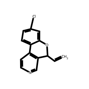 C=CC1Oc2cc(Cl)ccc2-c2ccncc21